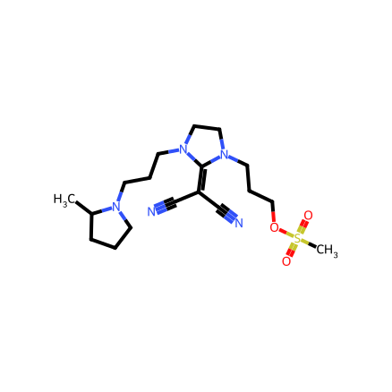 CC1CCCN1CCCN1CCN(CCCOS(C)(=O)=O)C1=C(C#N)C#N